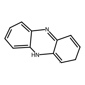 [C]1=C2Nc3ccccc3N=C2C=CC1